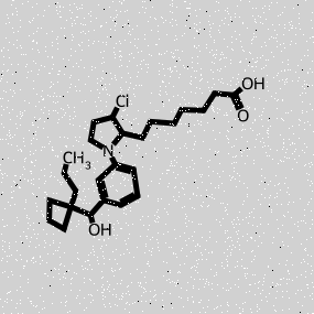 CCCC1(C(O)c2cccc(N3CCC(Cl)C3CCCCCCC(=O)O)c2)CCC1